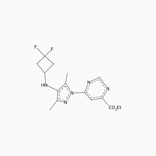 CCOC(=O)c1cc(-n2nc(C)c(NC3CC(F)(F)C3)c2C)ncn1